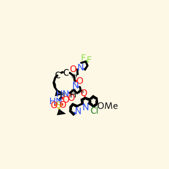 COc1ccc2c(O[C@@H]3C[C@H]4C(=O)N[C@]5(C(=O)NS(=O)(=O)C6CC6)CC5C=CCCCCC[C@H](CC(=O)N5CCC(F)(F)C5)C(=O)N4C3)cc(-c3ccccn3)nc2c1Cl